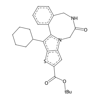 CC(C)(C)OC(=O)c1cc2c(s1)c(C1CCCCC1)c1n2CC(=O)NCc2ccccc2-1